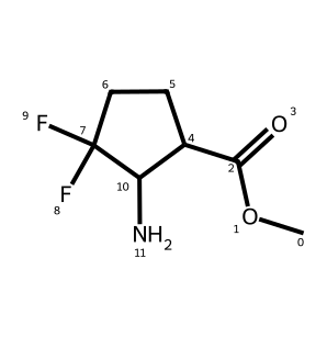 COC(=O)C1CCC(F)(F)C1N